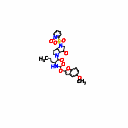 CCCC(NC(=O)Oc1cc2cc(OC)ccc2o1)C(=O)N1CCC2C1C(=O)CN2S(=O)(=O)c1cccc[n+]1[O-]